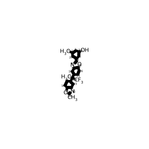 Cc1cc(O)cc(-c2nc3cc(C(C)(c4ccc5oc(C)nc5c4)C(F)(F)F)ccc3o2)c1